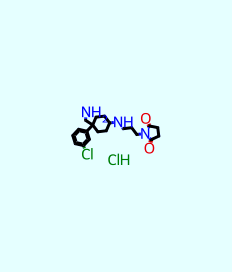 Cl.NCC1(c2cccc(Cl)c2)CCC(NCCCN2C(=O)CCC2=O)CC1